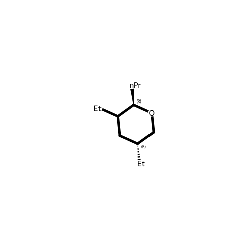 CCC[C@H]1OC[C@H](CC)CC1CC